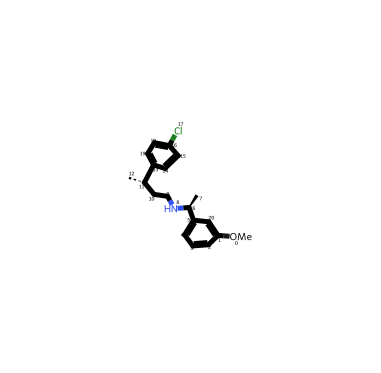 COc1cccc([C@H](C)NCC[C@H](C)c2ccc(Cl)cc2)c1